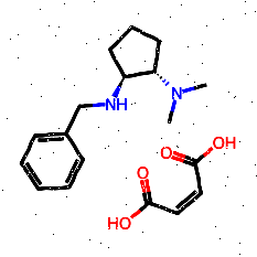 CN(C)[C@H]1CCC[C@@H]1NCc1ccccc1.O=C(O)/C=C\C(=O)O